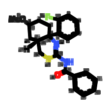 CO[C@H]1CC[C@]2(c3ccccc3F)N=C(NC(=O)c3ccccc3)SC[C@@H]2C1